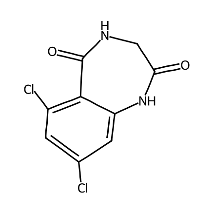 O=C1CNC(=O)c2c(Cl)cc(Cl)cc2N1